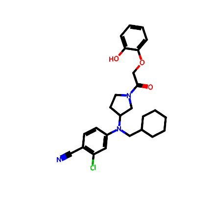 N#Cc1ccc(N(CC2CCCCC2)C2CCN(C(=O)COc3ccccc3O)C2)cc1Cl